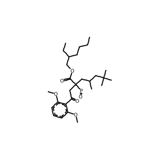 CCCCC(CC)COC(=O)C(CC(=O)c1c(OC)cccc1OC)(CC(C)CC(C)(C)C)P=O